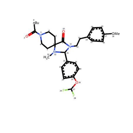 CCCCC(=O)N1CCC2(CC1)C(=O)N(CCc1ccc(OC)cc1)C(c1ccc(OC(F)F)cc1)N2C